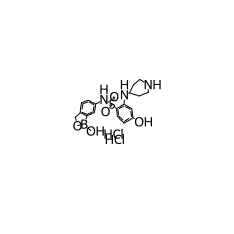 Cl.Cl.O=S(=O)(Nc1ccc2c(c1)B(O)OC2)c1ccc(O)cc1NC1CCNCC1